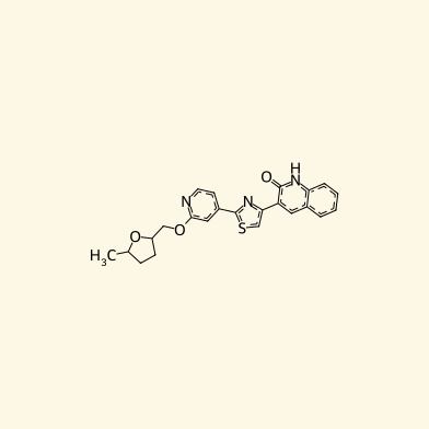 CC1CCC(COc2cc(-c3nc(-c4cc5ccccc5[nH]c4=O)cs3)ccn2)O1